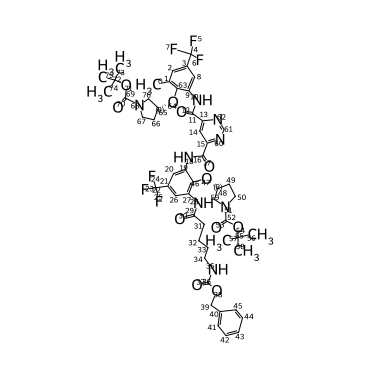 Cc1cc(C(F)(F)F)cc(NC(=O)c2cc(C(=O)Nc3cc(C(F)(F)F)cc(NC(=O)CCCCNC(=O)OCc4ccccc4)c3O[C@@H]3CCN(C(=O)OC(C)(C)C)C3)ncn2)c1O[C@@H]1CCN(C(=O)OC(C)(C)C)C1